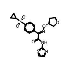 O=C(Nc1nccs1)/C(=N/O[C@@H]1CCOC1)c1ccc(S(=O)(=O)C2CC2)cc1